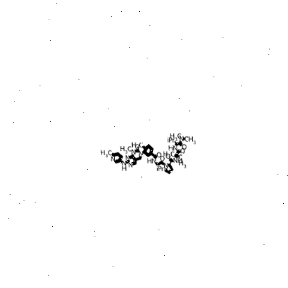 Cc1ccc(Nc2ncc3c(n2)N(C)C(=O)N(c2cc(C(=O)N[C@H](C(=O)N4CCC[C@@H]4C(=O)NC(C)(C)C(=O)N[C@H](C(=O)N(C)C)C(C)C)C(C)C)ccc2C)C3)cn1